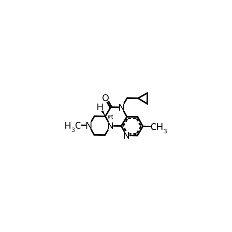 Cc1cnc2c(c1)N(CC1CC1)C(=O)[C@H]1CN(C)CCN21